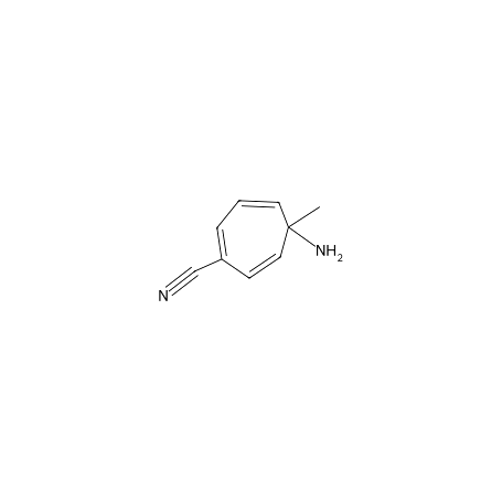 CC1(N)C=CC=C(C#N)C=C1